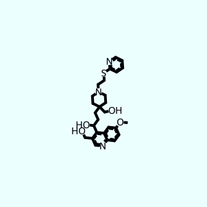 COc1ccc2ncc(CO)c(C(O)CCC3(CO)CCN(CCSc4ccccn4)CC3)c2c1